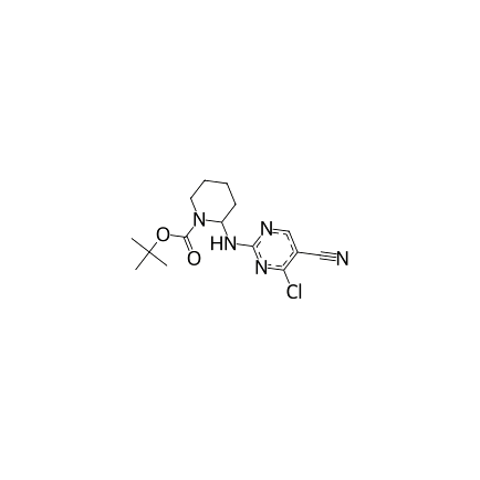 CC(C)(C)OC(=O)N1CCCCC1Nc1ncc(C#N)c(Cl)n1